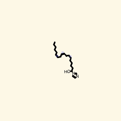 CCCCC/C=C\C/C=C\C/C=C\CCCCC(O)n1ccnc1